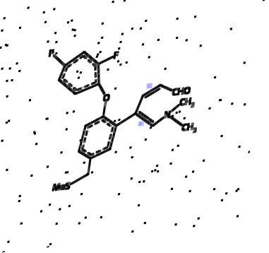 CSCc1ccc(Oc2ccc(F)cc2F)c(C(/C=C\C=O)=C/N(C)C)c1